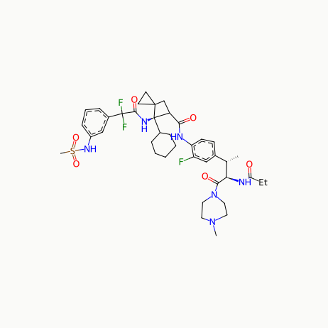 CCC(=O)N[C@@H](C(=O)N1CCN(C)CC1)[C@@H](C)c1ccc(NC(=O)C2CC3(CC3)[C@@]2(NC(=O)C(F)(F)c2cccc(NS(C)(=O)=O)c2)C2CCCCC2)c(F)c1